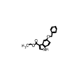 CCOC(=O)c1c[nH]c2ccc(OCc3ccccc3)cc12